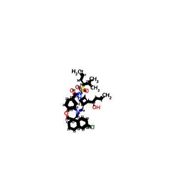 C=CC[C@H](O)[C@@H]1CC[C@H]1CN1C[C@@]2(CCCc3cc(Cl)ccc32)COc2ccc(C(=O)NS(=O)(=O)[C@@H](CC=C)C(C)C)cc21